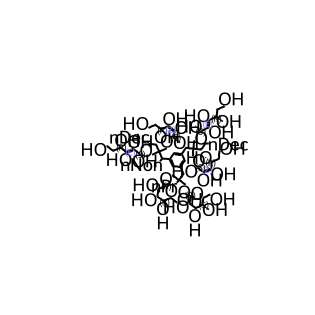 CCCCCCCCCCCCC(CO[C@H](O)/C(O)=C(/O)[C@H](O)CCO)(CO[C@H](O)/C(O)=C(\O)[C@H](O)CCO)Cc1cc(CC(CCC)(CO[C@@H]2OC(CO)[C@@H](O)C(O)C2O)CO[C@@H]2OC(CO)[C@@H](O)C(O)C2O)cc(C(CCCCCCCCC)C(CCCCCCCCCCCC)(CO[C@H](O)/C(O)=C(/O)[C@H](O)CCO)CO[C@H](O)/C(O)=C(\O)[C@H](O)CCO)c1